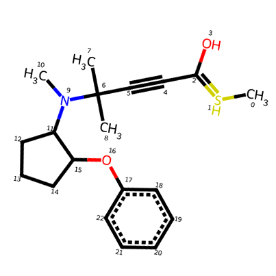 C[SH]=C(O)C#CC(C)(C)N(C)C1CCCC1Oc1ccccc1